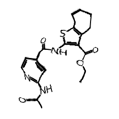 CCOC(=O)c1c(NC(=O)c2ccnc(NC(C)=O)c2)sc2c1CCCC2